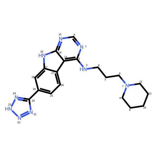 c1nc(NCCCN2CCCCC2)c2c(n1)[nH]c1cc(-c3nn[nH]n3)ccc12